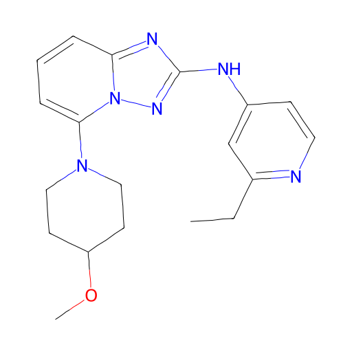 CCc1cc(Nc2nc3cccc(N4CCC(OC)CC4)n3n2)ccn1